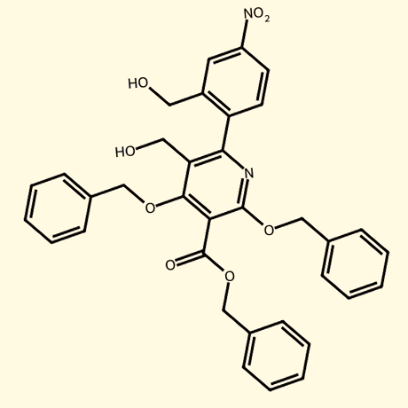 O=C(OCc1ccccc1)c1c(OCc2ccccc2)nc(-c2ccc([N+](=O)[O-])cc2CO)c(CO)c1OCc1ccccc1